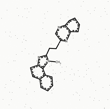 Cn1c(CCc2cnc3ccccc3n2)nc2ccc3ccccc3c21